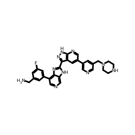 NCc1cc(F)cc(-c2cncc3[nH]c(-c4n[nH]c5ncc(-c6cncc(CN7CCNCC7)c6)cc45)nc23)c1